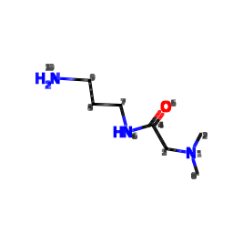 CN(C)CC(=O)NCCCN